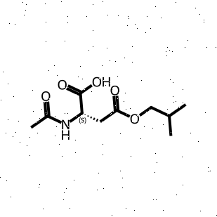 CC(=O)N[C@@H](CC(=O)OCC(C)C)C(=O)O